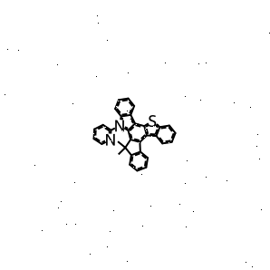 CC1(C)c2ccccc2-c2c1c1c(c3ccccc3n1-c1ccccn1)c1sc3ccccc3c21